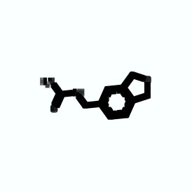 NC(=O)NCc1ccc2c(c1)COC2